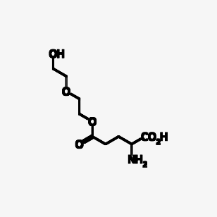 NC(CCC(=O)OCCOCCO)C(=O)O